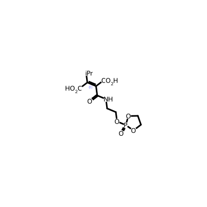 CC(C)/C(C(=O)O)=C(\C(=O)O)C(=O)NCCOP1(=O)OCCO1